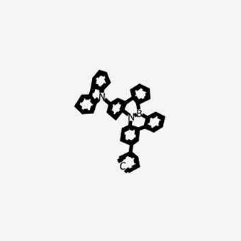 c1ccc(-c2ccc3c(c2)-c2ccccc2B2c4ccccc4-c4cc(-n5c6ccccc6c6ccccc65)ccc4N23)cc1